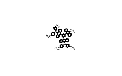 Cc1ccc(N(c2ccc(C)cc2)c2c3ccccc3c(-c3cc(-c4c5ccccc5c(C)c5ccccc45)cc(-c4c5ccccc5c(N(c5ccc(C)cc5)c5ccc(C)cc5)c5ccccc45)c3)c3ccccc23)cc1